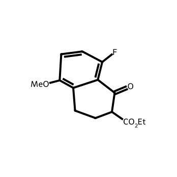 CCOC(=O)C1CCc2c(OC)ccc(F)c2C1=O